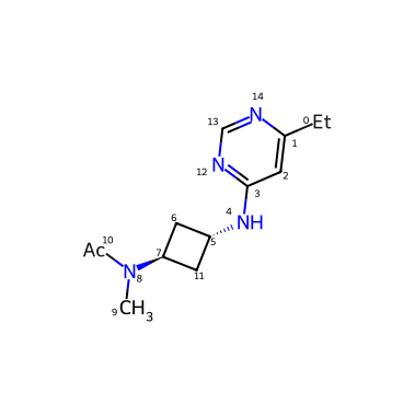 CCc1cc(N[C@H]2C[C@H](N(C)C(C)=O)C2)ncn1